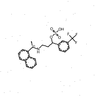 C[C@@H](NCCC(OS(=O)(=O)O)c1cccc(C(F)(F)F)c1)c1cccc2ccccc12